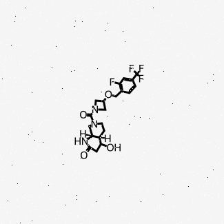 O=C1CC(O)[C@H]2CCN(C(=O)N3CC(OCc4ccc(C(F)(F)F)cc4F)C3)C[C@H]2N1